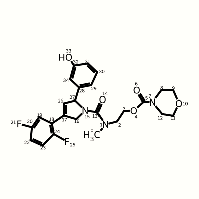 CN(CCOC(=O)N1CCOCC1)C(=O)N1CC(c2cc(F)ccc2F)=CC1c1cccc(O)c1